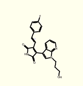 O=C1NC(=O)C(c2cn(CCCO)c3ncccc23)=C1/C=C/c1ccc(F)cc1